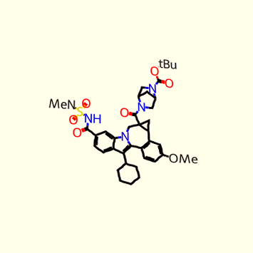 CNS(=O)(=O)NC(=O)c1ccc2c(C3CCCCC3)c3n(c2c1)CC1(C(=O)N2CC4CC2CN4C(=O)OC(C)(C)C)CC1c1cc(OC)ccc1-3